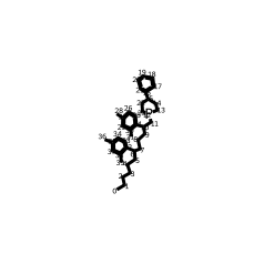 CCCCCCC(CCCC(CP1CCC(c2ccccc2)CC1)c1ccc(C)cc1C)c1ccc(C)cc1C